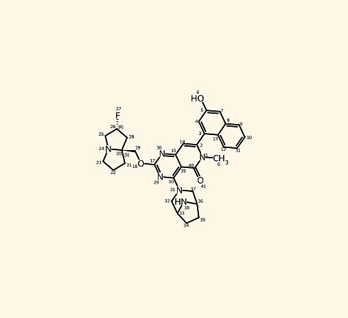 Cn1c(-c2cc(O)cc3ccccc23)cc2nc(OC[C@@]34CCCN3C[C@H](F)C4)nc(N3CC4CCC(C3)N4)c2c1=O